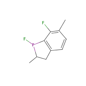 Cc1ccc2c(c1F)P(F)C(C)C2